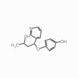 CC(O)CC(Oc1ccc(O)cc1)c1cccnc1